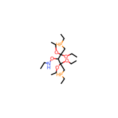 CCNOC(C(CPCC)(OCC)OCC)C(CPCC)(OCC)OCC